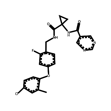 Cc1cc(Cl)ccc1Oc1ccc(CNC(=O)C2(NC(=O)c3cncnc3)CC2)c(F)c1